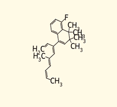 C=C\C(=C/C(C)=C/C=C\C)C1=CC(C)(C)C(C)(C)c2c(F)cccc21